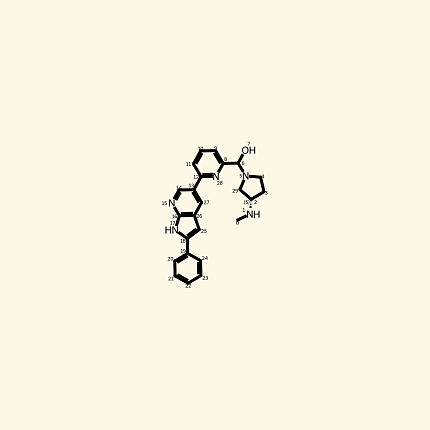 CN[C@H]1CCN(C(O)c2cccc(-c3cnc4[nH]c(-c5ccccc5)cc4c3)n2)C1